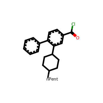 CCCCCC1CCC(c2cc(C(=O)Cl)ccc2-c2ccccc2)CC1